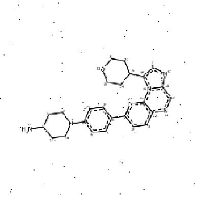 NC1CCN(c2ccc(-c3ccc4ncc5nnc(C6CCOCC6)n5c4n3)cc2)CC1